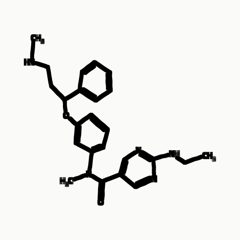 CCNc1ncc(C(=O)N(C)c2cccc(OC(CCNC)c3ccccc3)c2)cn1